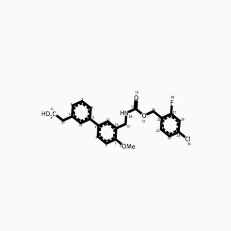 COc1ccc(-c2cccc(CC(=O)O)c2)cc1CNC(=O)OCc1ccc(Cl)cc1F